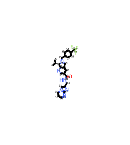 CC(C)[C@H]1c2ncc(C(=O)NCc3cn4cccnc4n3)cc2CN1Cc1ccc(C(F)(F)F)cc1